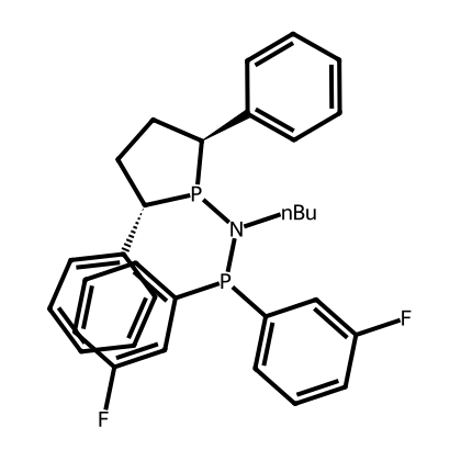 CCCCN(P(c1cccc(F)c1)c1cccc(F)c1)P1[C@H](c2ccccc2)CC[C@H]1c1ccccc1